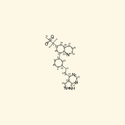 CC(C)(c1cc(-c2cccc(CSc3ncnc4[nH]ncc34)c2)c2ncccc2c1)S(C)(=O)=O